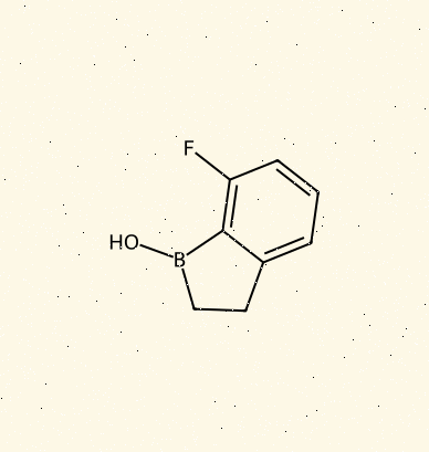 OB1CCc2cccc(F)c21